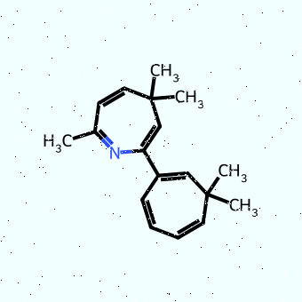 CC1=NC(C2=CC(C)(C)C=CC=C2)=CC(C)(C)C=C1